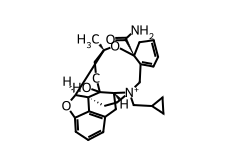 C[C@@]12CCC3(O)[C@H]4Cc5cccc6c5[C@@]3(CC[N+]4(CC3CC3)CC3=CC=CC[C@@]3(C(N)=O)O1)[C@H]2O6